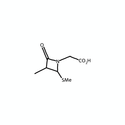 CSC1C(C)C(=O)N1CC(=O)O